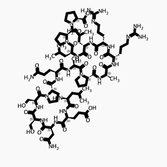 CC(C)C[C@H](NC(=O)[C@H](CCCN=C(N)N)NC(=O)[C@H](CCCN=C(N)N)NC(=O)[C@H](C)NC(=O)[C@@H]1CCCN1C(=O)[C@H](C)NC(=O)[C@H](CCC(N)=O)NC(=O)[C@@H]1CCCN1C(=O)[C@H](CO)NC(=O)[C@H](CO)NC(=O)[C@H](CC(N)=O)NC(=O)[C@H](CCC(=O)O)NC(=O)[C@@H](N)CC(C)C)C(=O)N[C@@H](CC(C)C)C(=O)N1CCC[C@H]1C(=O)N1CCC[C@H]1C(=O)O